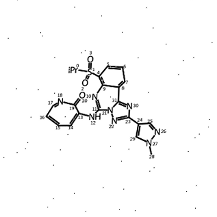 CC(C)S(=O)(=O)c1cccc2c1nc(Nc1ccccnc1=O)n1nc(-c3cnn(C)c3)nc21